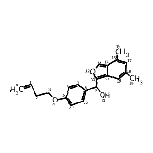 C=CCCOc1ccc(C(O)c2occ3c(C)cc(C)cc23)cc1